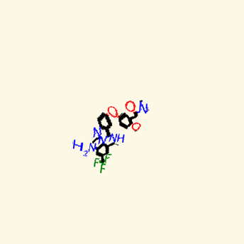 COc1ccc(Oc2ccc3nc(C)nc(N[C@H](C)c4cc(N)cc(C(F)(F)F)c4)c3c2)cc1CC(=O)N(C)C